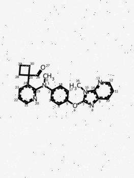 CN(c1ccc(Oc2nc3cccnc3n2C)cc1)c1ncccc1C1(C=O)CCC1